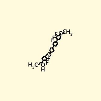 CCCC(O)c1ccc(COC2CC=C(c3ccc(-c4ccc(OCC)c(F)c4F)c(F)c3)CC2)c(F)c1F